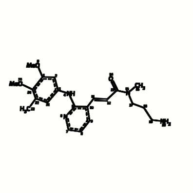 COc1cc(Nc2ncccc2/C=C/C(=O)N(C)CCCN)cc(C)c1OC